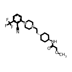 COCC(=O)N[C@H]1CC[C@H](CCN2CCN(c3cccc(C(F)(F)F)c3C#N)CC2)CC1